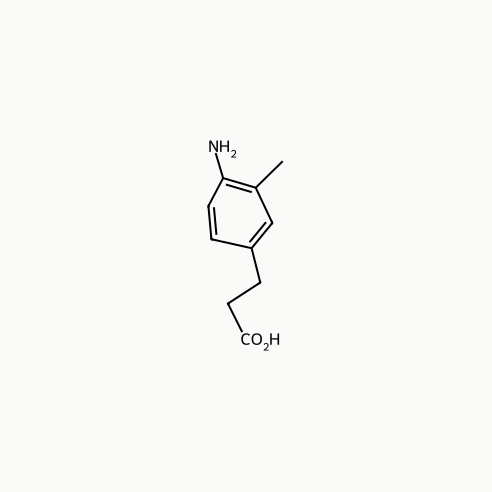 Cc1cc(CCC(=O)O)ccc1N